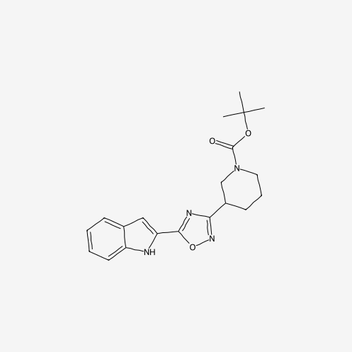 CC(C)(C)OC(=O)N1CCCC(c2noc(-c3cc4ccccc4[nH]3)n2)C1